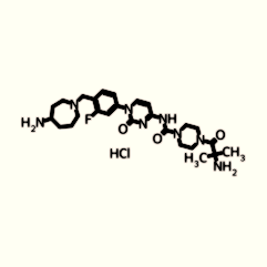 CC(C)(N)C(=O)N1CCN(C(=O)Nc2ccn(-c3ccc(CN4CCCC(N)CC4)c(F)c3)c(=O)n2)CC1.Cl